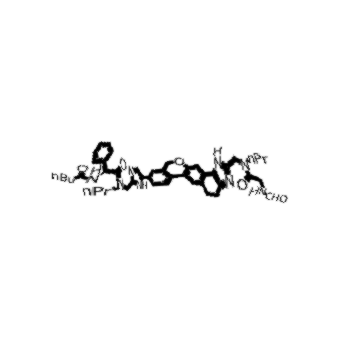 CCCCC(=O)N[C@@H](C(=O)N(CCC)Cc1ncc(-c2ccc3c(c2)COc2cc4c(cc2-3)CCc2nc(CN(CCC)C(=O)CNC=O)[nH]c2-4)[nH]1)c1ccccc1